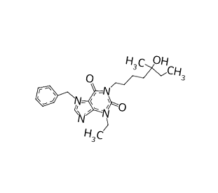 CCn1c(=O)n(CCCCC(C)(O)CC)c(=O)c2c1ncn2Cc1ccccc1